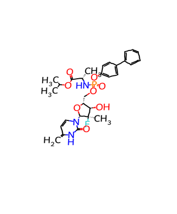 C=C1C=CN([C@@H]2O[C@H](COP(=O)(N[C@@H](C)C(=O)OC(C)C)Oc3ccc(-c4ccccc4)cc3)[C@@H](O)[C@@]2(C)F)C(=O)N1